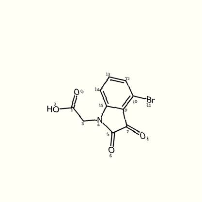 O=C(O)CN1C(=O)C(=O)c2c(Br)cccc21